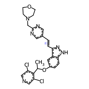 CC(Oc1ccc2[nH]nc(/C=C/c3cnc(CN4CCOCC4)nc3)c2c1)c1c(Cl)cncc1Cl